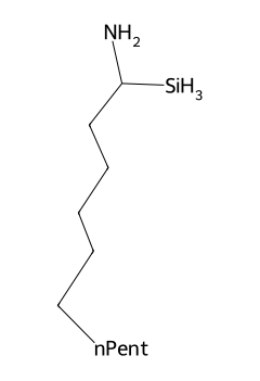 CCCCCCCCCCC(N)[SiH3]